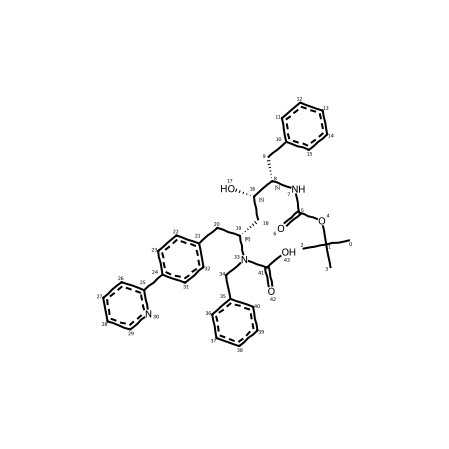 CC(C)(C)OC(=O)N[C@@H](Cc1ccccc1)[C@@H](O)C[C@@H](Cc1ccc(-c2ccccn2)cc1)N(Cc1ccccc1)C(=O)O